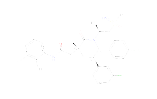 Cc1c(Br)cccc1NC(=O)C[C@@]1(C)C[C@H](c2cccc(Cl)c2)[C@@H](c2ccc(Cl)cc2)N([C@H](CS(=N)(=O)C(C)C)C(C)C)C1=O